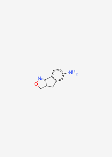 Nc1ccc2c(c1)CC1CON=C21